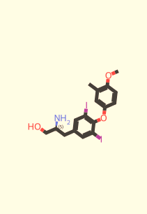 COc1ccc(Oc2c(I)cc(C[C@H](N)CO)cc2I)cc1C